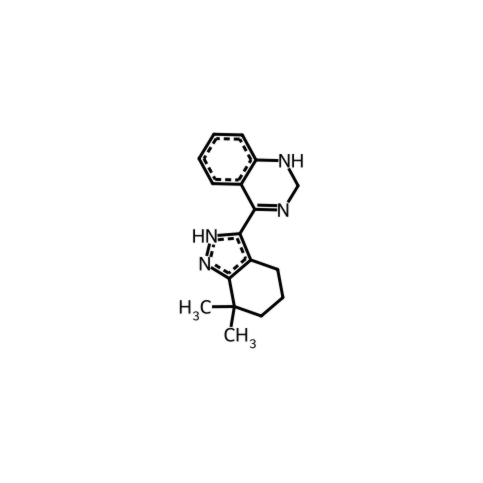 CC1(C)CCCc2c1n[nH]c2C1=NCNc2ccccc21